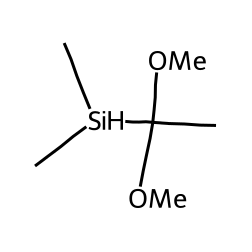 COC(C)(OC)[SiH](C)C